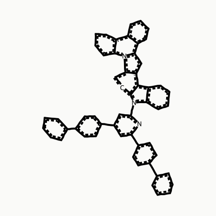 c1ccc(-c2ccc(-c3cc(-c4ccc(-c5ccccc5)cc4)nc(-n4c5ccccc5c5c6cc7c8ccccc8c8ccccc8n7c6ccc54)c3)cc2)cc1